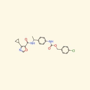 CC(NC(=O)c1ocnc1C1CC1)c1ccc(NC(=O)OCc2ccc(Cl)cc2)cc1